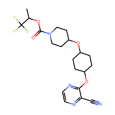 CC(OC(=O)N1CCC(OC2CCC(Oc3nccnc3C#N)CC2)CC1)C(F)(F)F